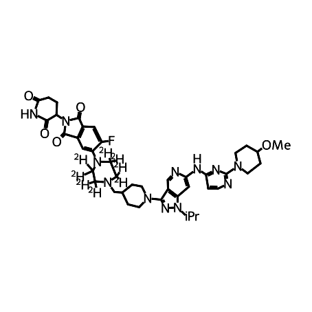 [2H]C1([2H])N(CC2CCN(c3nn(C(C)C)c4cc(Nc5ccnc(N6CCC(OC)CC6)n5)ncc34)CC2)C([2H])([2H])C([2H])([2H])N(c2cc3c(cc2F)C(=O)N(C2CCC(=O)NC2=O)C3=O)C1([2H])[2H]